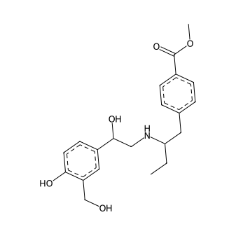 CCC(Cc1ccc(C(=O)OC)cc1)NCC(O)c1ccc(O)c(CO)c1